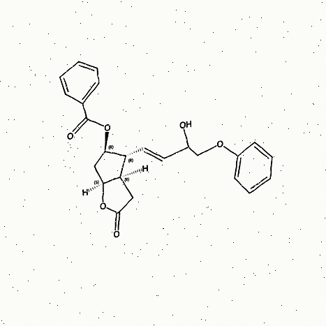 O=C1C[C@@H]2[C@@H](C=CC(O)COc3ccccc3)[C@H](OC(=O)c3ccccc3)C[C@@H]2O1